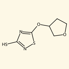 Sc1nsc(OC2CCOC2)n1